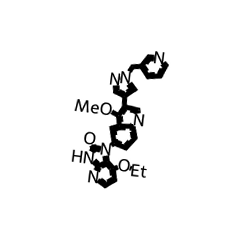 CCOc1ccnc2[nH]c(=O)n(-c3ccc4ncc(-c5cnn(Cc6cccnc6)c5)c(OC)c4c3)c12